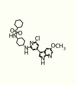 COc1cnc2[nH]cc(-c3cc(Cl)nc(N[C@H]4CC[C@H](NS(=O)(=O)C5CCCCC5)CC4)c3)c2c1